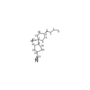 CCCC[C@H]1CC[C@](F)(C2CCC(C#N)CC2)CC1